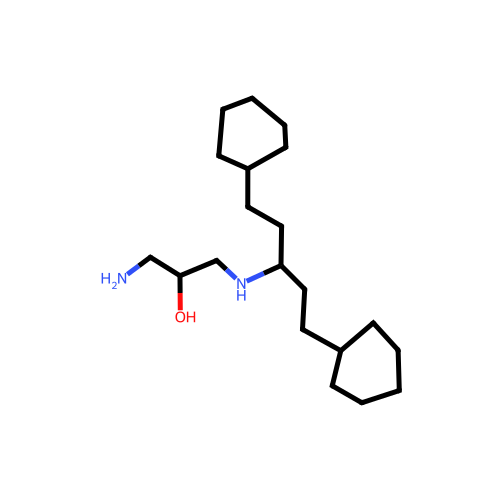 NCC(O)CNC(CCC1CCCCC1)CCC1CCCCC1